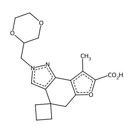 Cc1c(C(=O)O)oc2c1-c1nn(CC3COCCO3)cc1C1(CCC1)C2